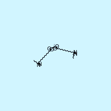 [CH2]C(COC(=O)CCCCCCCCCCCCC1(CCCC)N=N1)OC(=O)CCCCCCCCCCCCC1(CCCC)N=N1